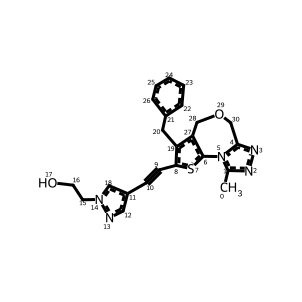 Cc1nnc2n1-c1sc(C#Cc3cnn(CCO)c3)c(Cc3ccccc3)c1COC2